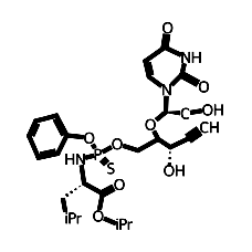 C#C[C@H](O)C(COP(=S)(N[C@@H](CC(C)C)C(=O)OC(C)C)Oc1ccccc1)O[C@H](CO)n1ccc(=O)[nH]c1=O